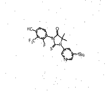 CC(C)(C)c1cncc(N2C(=S)N(c3ccc(C#N)c(C(F)(F)F)c3F)C(=O)C2(C)C)c1